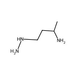 CC(N)CCNN